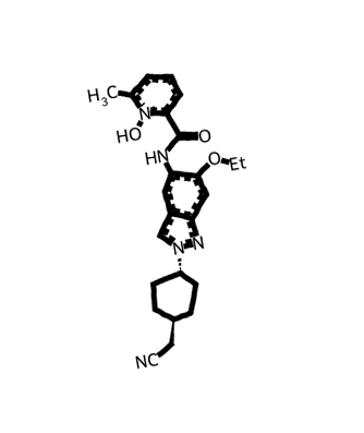 CCOc1cc2nn([C@H]3CC[C@H](CC#N)CC3)cc2cc1NC(=O)c1cccc(C)[n+]1O